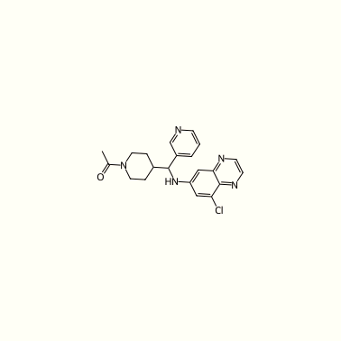 CC(=O)N1CCC(C(Nc2cc(Cl)c3nccnc3c2)c2cccnc2)CC1